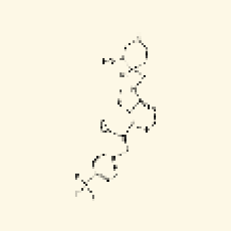 OC1CNCCC1(O)Cn1ccc2c(N(Cc3ccc(C(F)(F)F)cc3)C3CC3)ncnc21